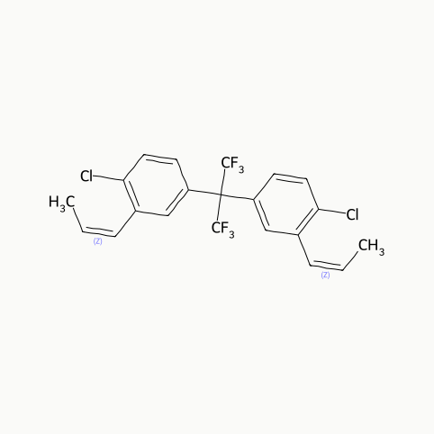 C/C=C\c1cc(C(c2ccc(Cl)c(/C=C\C)c2)(C(F)(F)F)C(F)(F)F)ccc1Cl